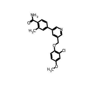 COc1ccc(OCc2cncc(-c3ccc(C(N)=O)c(C)c3)c2)c(Cl)c1